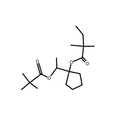 CCC(C)(C)C(=O)OC1(C(C)OC(=O)C(C)(C)C)CCCC1